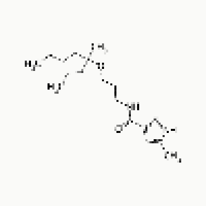 CCCCC(C)(CCC)OCCCNC(=O)c1cc(C)[nH]n1